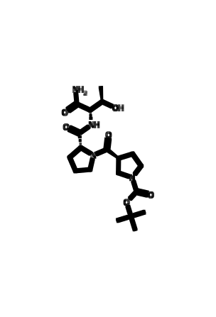 C[C@@H](O)[C@H](NC(=O)[C@H]1CCCN1C(=O)[C@H]1CCN(C(=O)OC(C)(C)C)C1)C(N)=O